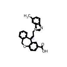 Cc1ccc2ncn(C/C=C3\c4ccccc4COc4ccc(C(=O)O)cc43)c2c1